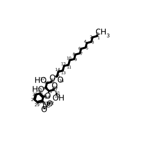 CCCCCCCCCCCCCCCC(=O)O[C@H]1O[C@H](CO)[C@@H](Oc2ccccc2[N+](=O)[O-])[C@H](O)[C@H]1O